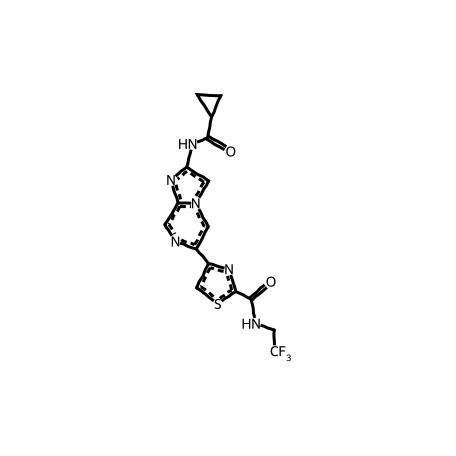 O=C(NCC(F)(F)F)c1nc(-c2cn3cc(NC(=O)C4CC4)nc3cn2)cs1